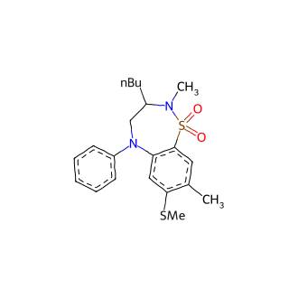 CCCCC1CN(c2ccccc2)c2cc(SC)c(C)cc2S(=O)(=O)N1C